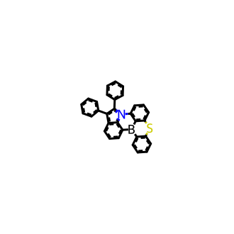 c1ccc(-c2c(-c3ccccc3)n3c4c(cccc24)B2c4ccccc4Sc4cccc-3c42)cc1